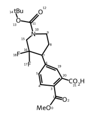 COC(=O)c1ccc(C2CCN(C(=O)OC(C)(C)C)CC2(F)F)cc1C(=O)O